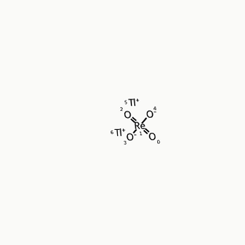 [O]=[Re](=[O])([O-])[O-].[Tl+].[Tl+]